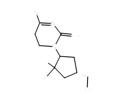 NC1=NC(=O)N(C2C[C@H](CO)CC2(F)F)CC1